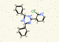 Clc1ncccc1-c1nc(-c2ccccc2)nc(-c2ccccc2)n1